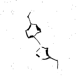 CCOC(=O)Cc1ccc(-n2cc(CO)nn2)cc1